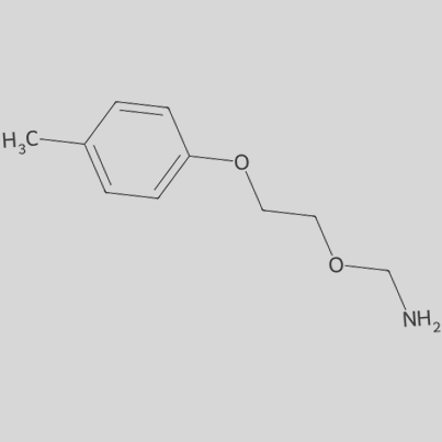 Cc1ccc(OCCOCN)cc1